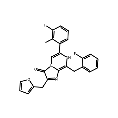 O=c1c(Cc2ccco2)nc2c(Cc3ccccc3F)[nH]c(-c3cccc(F)c3F)cn1-2